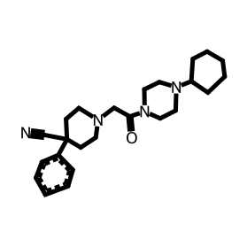 N#CC1(c2ccccc2)CCN(CC(=O)N2CCN(C3CCCCC3)CC2)CC1